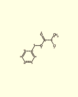 CC(Cl)C(=O)OCc1ccccc1